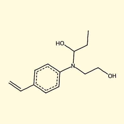 C=Cc1ccc(N(CCO)C(O)CC)cc1